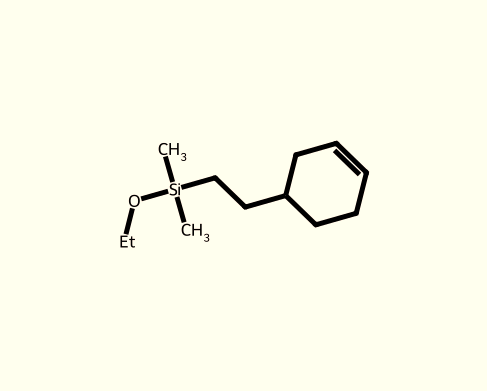 CCO[Si](C)(C)CCC1CC=CCC1